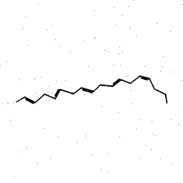 CCCCCC=CCC=CCC=CCC=CC/C=C\CCC(=O)OCC